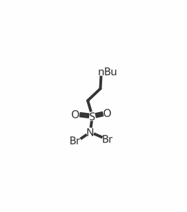 CCCCCCS(=O)(=O)N(Br)Br